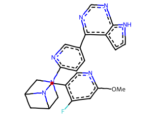 COc1cc(F)c(CN2C3CC2CN(c2ccc(-c4ncnc5[nH]ccc45)cn2)C3)cn1